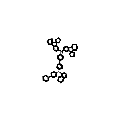 c1ccc(-c2ccc(N(c3ccc(-c4ccc(N(c5ccc6c(c5)C5(CCCC5)c5ccccc5-6)c5ccc6c(c5)C5(CCCC5)c5ccccc5-6)cc4)cc3)c3cccc4ccccc34)cc2)cc1